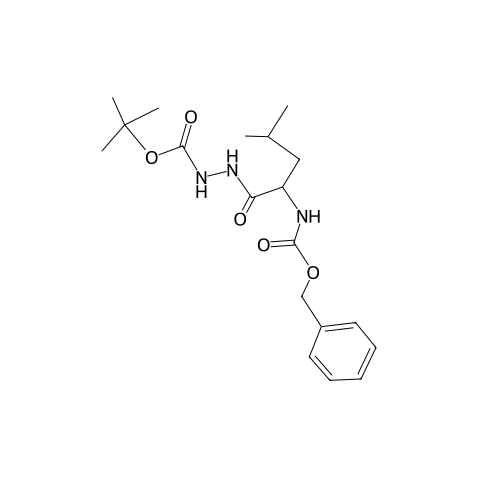 CC(C)CC(NC(=O)OCc1ccccc1)C(=O)NNC(=O)OC(C)(C)C